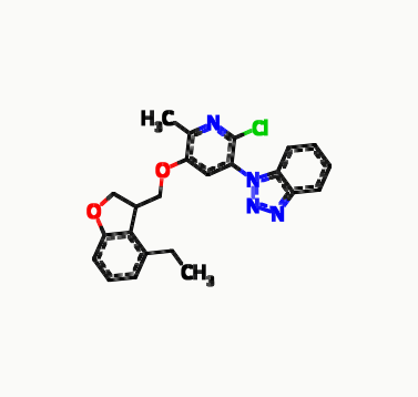 CCc1cccc2c1C(COc1cc(-n3nnc4ccccc43)c(Cl)nc1C)CO2